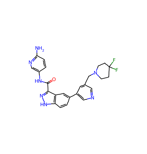 Nc1ccc(NC(=O)c2n[nH]c3ccc(-c4cncc(CN5CCC(F)(F)CC5)c4)cc23)cn1